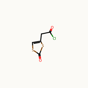 O=C(Cl)Cc1csc(=O)s1